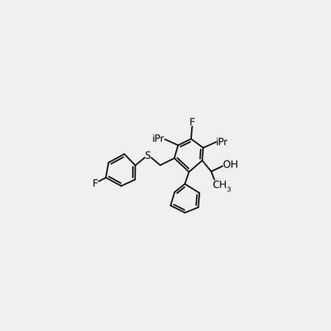 CC(C)c1c(F)c(C(C)C)c(C(C)O)c(-c2ccccc2)c1CSc1ccc(F)cc1